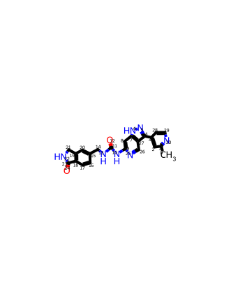 Cc1cc(-c2n[nH]c3cc(NC(=O)NCc4ccc5c(c4)CNC5=O)ncc23)ccn1